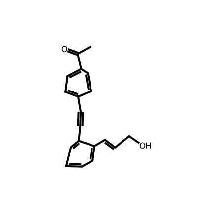 CC(=O)c1ccc(C#Cc2ccccc2C=CCO)cc1